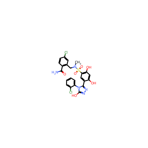 CN(Cc1cc(Cl)ccc1C(N)=O)S(=O)(=O)c1cc(-c2nnc(O)n2-c2ccccc2Cl)c(O)cc1O